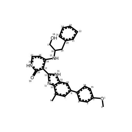 COc1ccc(-c2cc(C)c3nc(-c4c(NC(CO)Cc5ccccc5)cc[nH]c4=O)[nH]c3c2)cc1